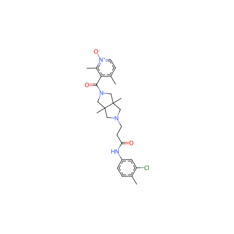 Cc1ccc(NC(=O)CCN2CC3(C)CN(C(=O)c4c(C)cc[n+]([O-])c4C)CC3(C)C2)cc1Cl